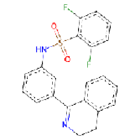 O=S(=O)(Nc1cccc(C2=NCCc3ccccc32)c1)c1c(F)cccc1F